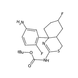 CC(C)(C)OC(=O)NC1=NC2(c3cc(N)ccc3F)CCC(F)CC2CS1